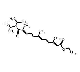 CCOC(=O)/C=C(\C)CC/C=C(\C)CC/C=C(\C)C(=O)N(C(C)C)C(C)C